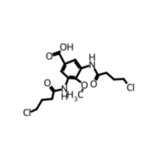 COc1c(NC(=O)CCCCl)cc(C(=O)O)cc1NC(=O)CCCCl